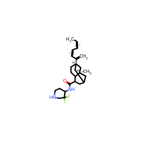 C=C(/C=C\C=C/C)[C@]12CCC3C(C(=O)NC4CCNCC4(F)F)CC(C1)C[C@]3(C)C2